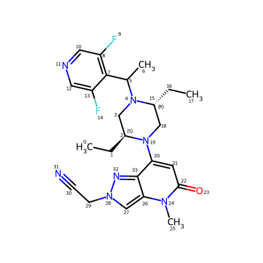 CC[C@H]1CN(C(C)c2c(F)cncc2F)[C@H](CC)CN1c1cc(=O)n(C)c2cn(CC#N)nc12